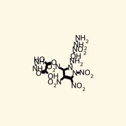 NN.NN.NN1C([N+](=O)[O-])C([N+](=O)[O-])=C([N+](=O)[O-])N1[N+](=O)[O-].O=C(O)C(=O)O.O=[N+]([O-])O